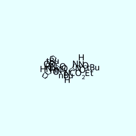 CCCC[C@@H](NC(=O)[C@@H](Cc1ccccc1)NC(=O)[C@@H](Cc1ccccc1)NC(=O)OC(C)(C)C)C(=O)N[C@H](Cc1cnc(NC(=O)OC(C)(C)C)nc1)C(=O)OCC